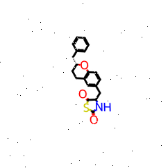 O=C1NC(Cc2ccc3c(c2)CC[C@H](Cc2ccccc2)O3)C(=O)S1